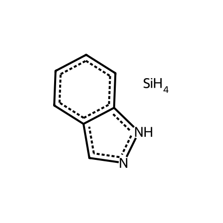 [SiH4].c1ccc2[nH]ncc2c1